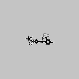 Cc1ccc(C#CC2CN(C(=O)OC(C)(C)C)C2)c(C(F)(F)F)c1